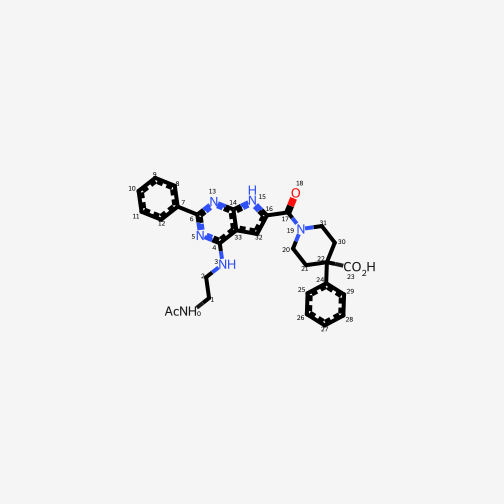 CC(=O)NCCNc1nc(-c2ccccc2)nc2[nH]c(C(=O)N3CCC(C(=O)O)(c4ccccc4)CC3)cc12